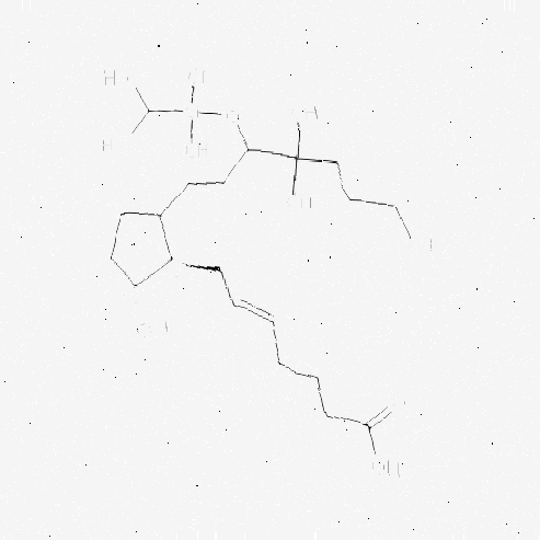 CCCCC(C)(C)C(CCC1CC[C@@H](O)[C@@H]1CC=CCCCC(=O)O)O[Si](C)(C)C(C)C